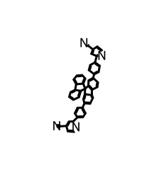 N#Cc1ccnc(-c2ccc(-c3ccc4c(c3)C3(c5ccccc5-c5ccccc53)c3cc(-c5ccc(-c6cc(C#N)ccn6)cc5)ccc3-4)cc2)c1